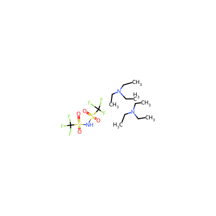 CCN(CC)CC.CCN(CC)CC.O=S(=O)(NS(=O)(=O)C(F)(F)F)C(F)(F)F